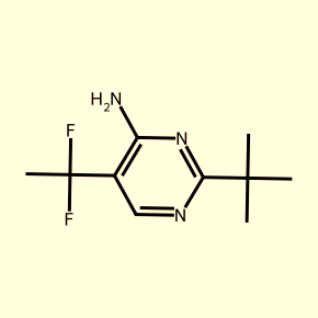 CC(C)(C)c1ncc(C(C)(F)F)c(N)n1